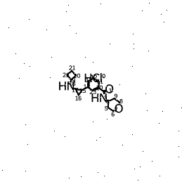 Cl.O=C(NC1CCOCC1)c1cccc(C2CC2NC2CCC2)c1